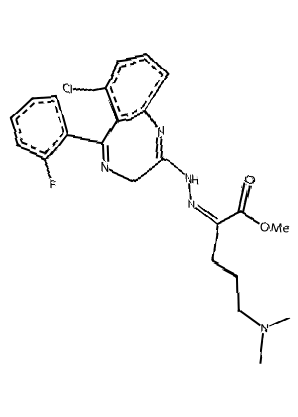 COC(=O)C(CCCN(C)C)=NNC1=Nc2cccc(Cl)c2C(c2ccccc2F)=NC1